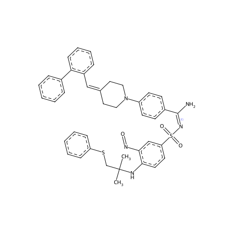 CC(C)(CSc1ccccc1)Nc1ccc(S(=O)(=O)/N=C(/N)c2ccc(N3CCC(=Cc4ccccc4-c4ccccc4)CC3)cc2)cc1N=O